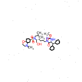 COC(=O)N[C@H](C(=O)NCCCC[C@H](CO)N(CC(C)C)S(=O)(=O)c1ccc2c(c1)N(C)CCO2)C(c1ccccc1)c1ccccc1